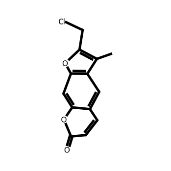 Cc1c(CCl)oc2cc3oc(=O)ccc3cc12